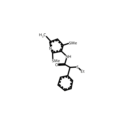 CCSC(C(=O)Nc1c(SC)cc(C)nc1SC)c1ccccc1